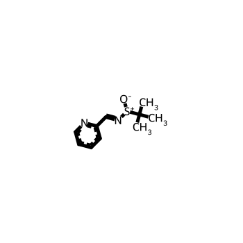 CC(C)(C)[S+]([O-])/N=C/c1ccccn1